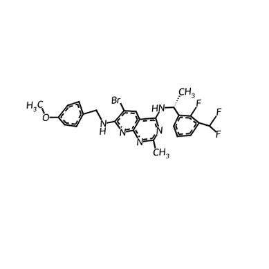 COc1ccc(CNc2nc3nc(C)nc(N[C@H](C)c4cccc(C(F)F)c4F)c3cc2Br)cc1